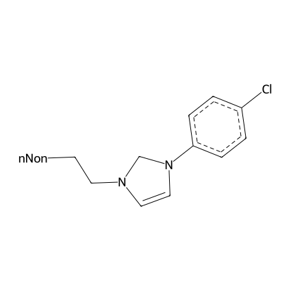 CCCCCCCCCCCN1C=CN(c2ccc(Cl)cc2)C1